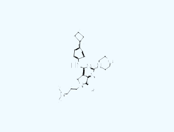 C[C@@H]1CN(c2nc(Nc3ccc(C4CCC4)cc3)c3c(n2)C(=O)N(CCCN(C)C)C3)CCO1